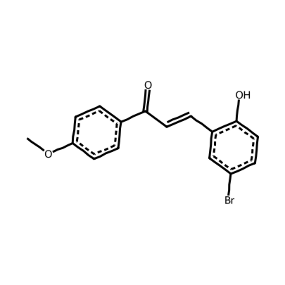 COc1ccc(C(=O)C=Cc2cc(Br)ccc2O)cc1